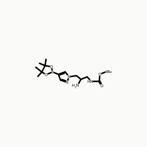 CC(C)(C)OC(=O)NCC(N)Cn1cc(B2OC(C)(C)C(C)(C)O2)cn1